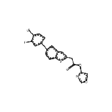 O=C(Cc1cc2cc(-c3ccc(Cl)c(F)c3)ccc2s1)Oc1cocn1